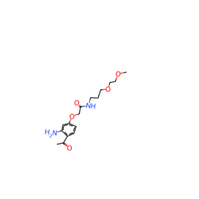 COCCOCCCNC(=O)COc1ccc(C(C)=O)c(N)c1